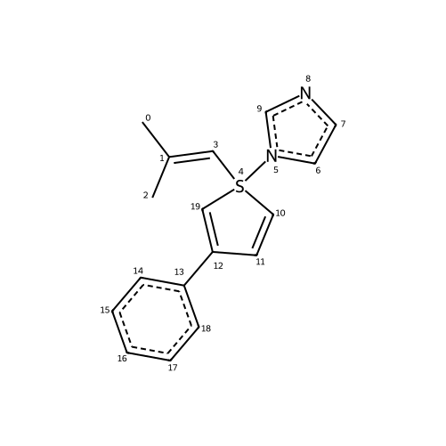 CC(C)=CS1(n2ccnc2)C=CC(c2ccccc2)=C1